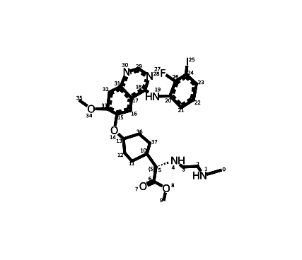 CNCCN[C@H](C(=O)OC)C1CCC(Oc2cc3c(Nc4cccc(I)c4F)ncnc3cc2OC)CC1